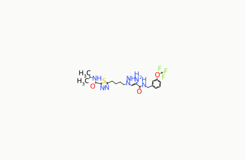 CC(C)NC(=O)c1nnc(CCCCN(N)/C=C(\N)C(=O)NCc2cccc(OC(F)(F)F)c2)s1